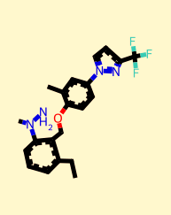 CCc1cccc(N(C)N)c1COc1ccc(-n2ccc(C(F)(F)F)n2)cc1C